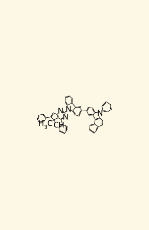 CC1(C)C(c2ccccc2)=Cc2nc(-n3c4ccccc4c4cc(-c5ccc6c(c5)c5c7ccccc7ccc5n6-c5ccccc5)ccc43)nc(-c3ccccc3)c21